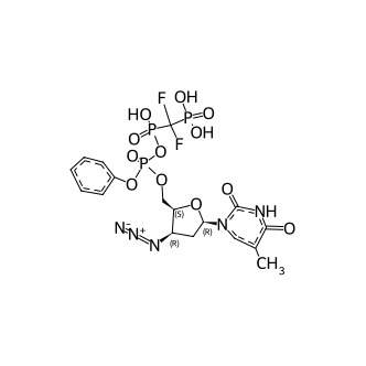 Cc1cn([C@H]2C[C@@H](N=[N+]=[N-])[C@@H](COP(=O)(Oc3ccccc3)OP(=O)(O)C(F)(F)P(=O)(O)O)O2)c(=O)[nH]c1=O